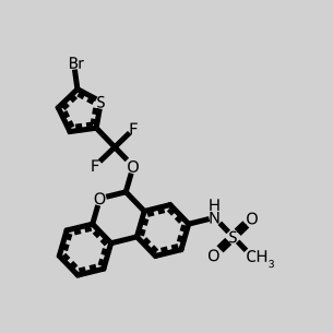 CS(=O)(=O)Nc1ccc2c(c1)C(OC(F)(F)c1ccc(Br)s1)Oc1ccccc1-2